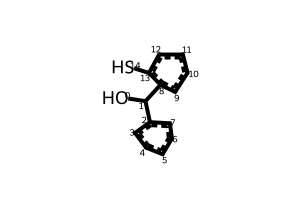 OC(c1ccccc1)c1ccccc1S